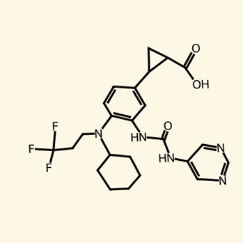 O=C(Nc1cncnc1)Nc1cc(C2CC2C(=O)O)ccc1N(CCC(F)(F)F)C1CCCCC1